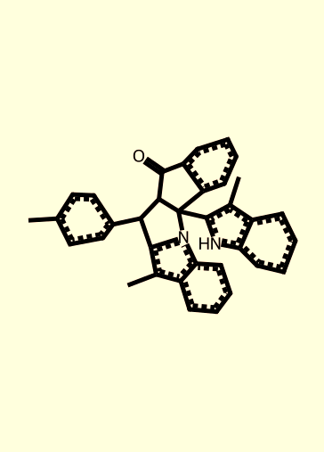 Cc1ccc(C2c3c(C)c4ccccc4n3C3(c4[nH]c5ccccc5c4C)c4ccccc4C(=O)C23)cc1